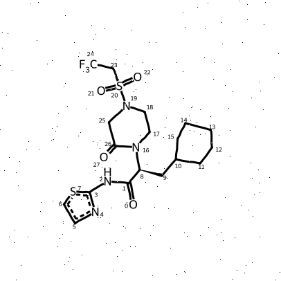 O=C(Nc1nccs1)[C@H](CC1CCCCC1)N1CCN(S(=O)(=O)CC(F)(F)F)CC1=O